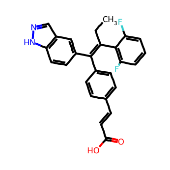 CCC(=C(c1ccc(C=CC(=O)O)cc1)c1ccc2[nH]ncc2c1)c1c(F)cccc1F